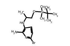 CC(CO[Si](C)(C)C(C)(C)C)Nc1ccc(Br)nc1N